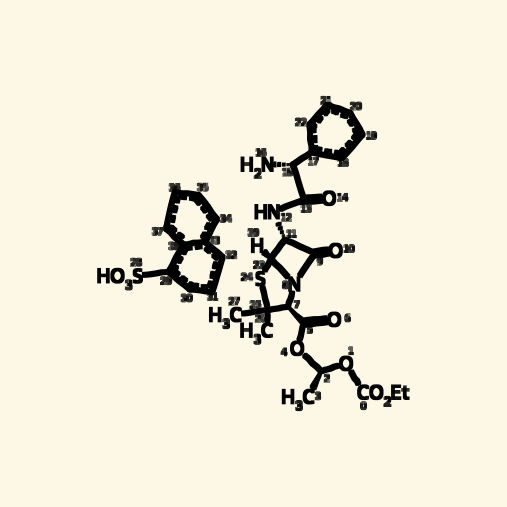 CCOC(=O)O[C@@H](C)OC(=O)[C@@H]1N2C(=O)[C@@H](NC(=O)[C@H](N)c3ccccc3)[C@H]2SC1(C)C.O=S(=O)(O)c1cccc2ccccc12